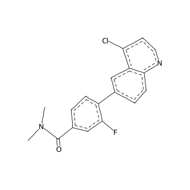 CN(C)C(=O)c1ccc(-c2ccc3nccc(Cl)c3c2)c(F)c1